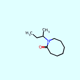 CCC(C)N1CCCCCCC1=O